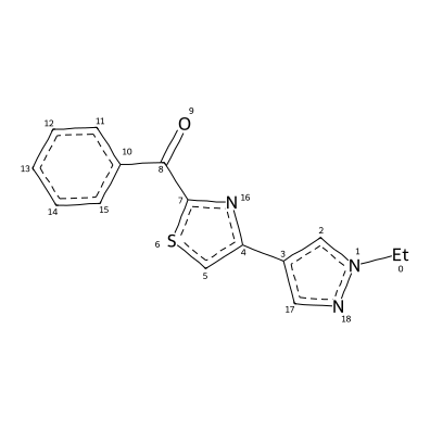 CCn1cc(-c2csc(C(=O)c3ccccc3)n2)cn1